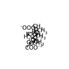 CC1(C)[C@@H](OC(=O)CCC(=O)[O-])CC[C@]2(C)C3=C(CC[C@@H]12)[C@@]1(C)CC[C@@]2(C)CC[C@](C)(C(=O)[O-])C[C@H]2[C@]1(C)CC3.[K+].[K+]